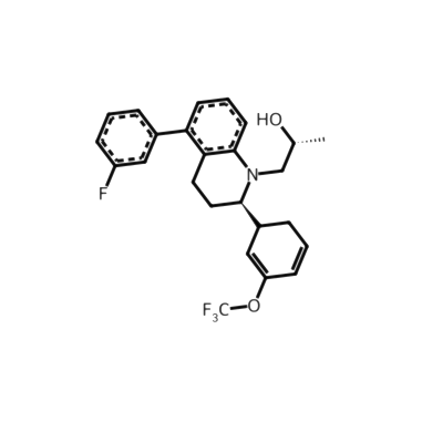 C[C@@H](O)CN1c2cccc(-c3cccc(F)c3)c2CC[C@@H]1C1C=C(OC(F)(F)F)C=CC1